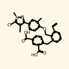 C=Cc1cccc(Cc2ccc(C(=O)O)cc2C(=O)O)c1COc1ccc(-c2nn(C)c(Cl)c2C)cc1C